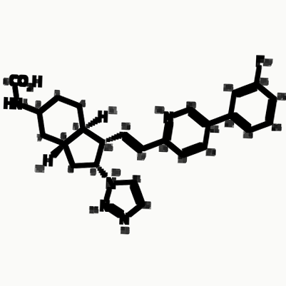 O=C(O)NC1CC[C@@H]2[C@@H](C1)C[C@@H](n1ccnn1)[C@H]2/C=C/c1ccc(-c2cccc(F)c2)cn1